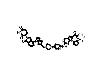 CN(C)C(=O)c1cc2cnc(Nc3ccc(N4CCN(CC5CC6(CCN6c6cccc7c6CN([C@@H]6CCC(=O)NC6=O)C7=O)C5)CC4)cn3)nc2n1C1CCCC1